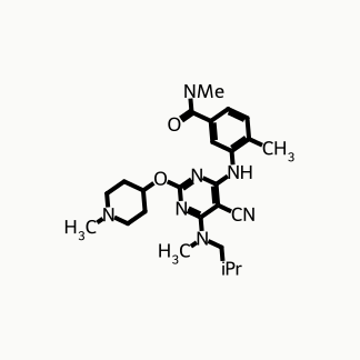 CNC(=O)c1ccc(C)c(Nc2nc(OC3CCN(C)CC3)nc(N(C)CC(C)C)c2C#N)c1